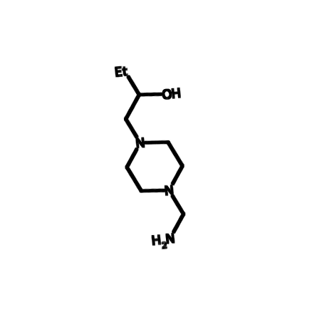 CCC(O)CN1CCN(CN)CC1